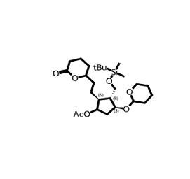 CC(=O)OC1C[C@H](OC2CCCCO2)[C@@H](CO[Si](C)(C)C(C)(C)C)[C@@H]1CCC1CCCC(=O)O1